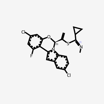 C=C(S/C(=N\C)C1CC1)[C@@H]1Oc2cc(Cl)cc(F)c2-c2cc3cc(Cl)ccc3n21